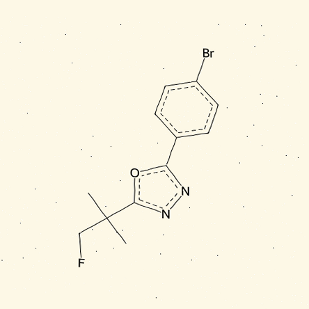 CC(C)(CF)c1nnc(-c2ccc(Br)cc2)o1